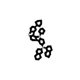 c1ccc(-c2ccc3sc4ccc5c6cc(N(c7ccc8ccccc8c7)c7cccc8ccccc78)ccc6n(-c6ccccc6)c5c4c3c2)cc1